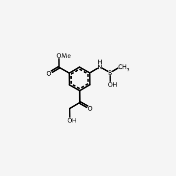 COC(=O)c1cc(NB(C)O)cc(C(=O)CO)c1